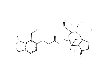 C=C[C@]1(C)C[C@@H](OC(=O)CNc2ccc3c(c2CN)B(O)OC3)[C@]2(C)[C@H](C)CC[C@]3(CCC(=O)[C@H]32)[C@@H](C)[C@@H]1O